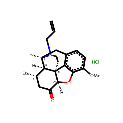 C=CCN1CC[C@]23c4c5ccc(OC)c4O[C@H]2C(=O)C[C@H](CC)[C@H]3[C@H]1C5.Cl